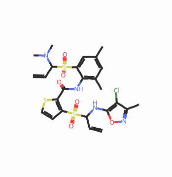 C=CC(Nc1onc(C)c1Cl)S(=O)(=O)c1ccsc1C(=O)Nc1c(C)cc(C)cc1S(=O)(=O)C(C=C)N(C)C